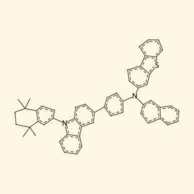 CC1(C)CCC(C)(C)c2cc(-n3c4ccccc4c4cc(-c5ccc(N(c6ccc7ccccc7c6)c6ccc7c(c6)sc6ccccc67)cc5)ccc43)ccc21